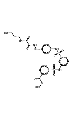 CCCCCCCCOC(=O)c1cccc(S(=O)(=O)Nc2cccc(S(=O)(=O)Nc3ccc(NNC(=O)C(=O)NCCCO)cc3)c2)c1